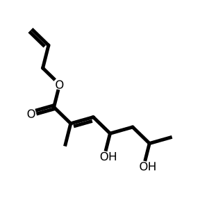 C=CCOC(=O)C(C)=CC(O)CC(C)O